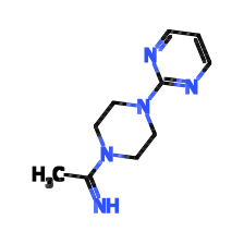 CC(=N)N1CCN(c2ncccn2)CC1